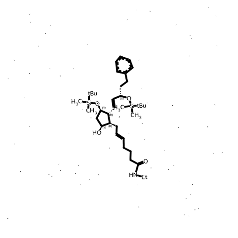 CCNC(=O)CCCC=CC[C@@H]1[C@@H](C=C[C@H](CCc2ccccc2)O[Si](C)(C)C(C)(C)C)[C@H](O[Si](C)(C)C(C)(C)C)C[C@@H]1O